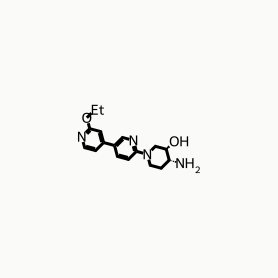 CCOc1cc(-c2ccc(N3CC[C@@H](N)[C@H](O)C3)nc2)ccn1